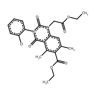 CCOC(=O)Cn1c(=O)n(-c2ccccc2Cl)c(=O)c2c(C)c(C(=O)OCC)c(C)cc21